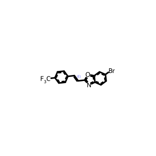 FC(F)(F)c1ccc(/C=C/c2nc3ccc(Br)cc3o2)cc1